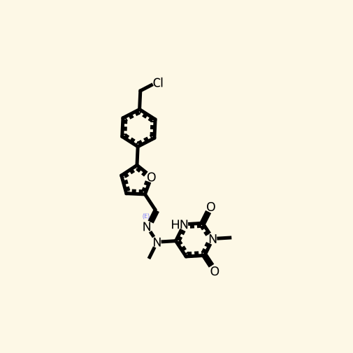 CN(/N=C/c1ccc(-c2ccc(CCl)cc2)o1)c1cc(=O)n(C)c(=O)[nH]1